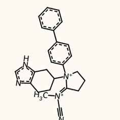 C[N+](C#N)=C1CCC[N+]1(c1ccc(-c2ccccc2)cc1)C1CCc2nc[nH]c2C1